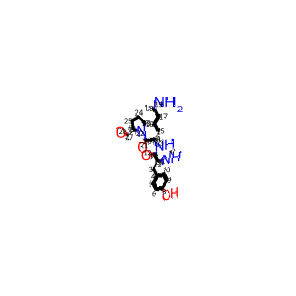 CN[C@@H](Cc1ccc(O)cc1)C(=O)N[C@@H](CCCCN)C(=O)N1CCC[C@H]1[C]=O